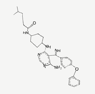 CC(C)CCC(=O)NC1CCC(Nc2ncnc(N)c2C(=N)c2ccc(Oc3ccccc3)cc2)CC1